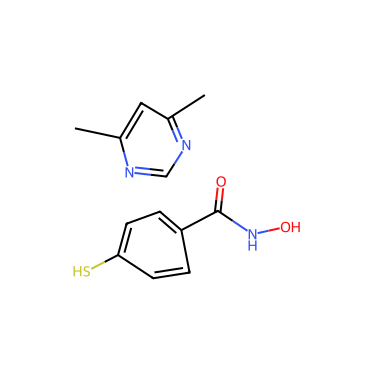 Cc1cc(C)ncn1.O=C(NO)c1ccc(S)cc1